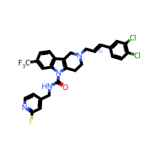 O=C(NCc1ccnc(F)c1)n1c2c(c3ccc(C(F)(F)F)cc31)CN(C/C=C/c1ccc(Cl)c(Cl)c1)CC2